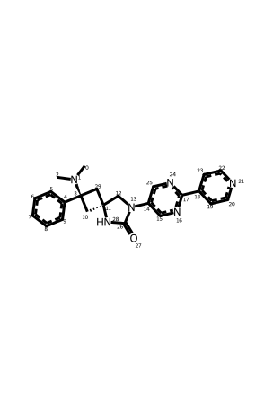 CN(C)[C@]1(c2ccccc2)C[C@@]2(CN(c3cnc(-c4ccncc4)nc3)C(=O)N2)C1